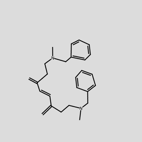 C=C(C=CC(=C)CCN(C)Cc1ccccc1)CCN(C)Cc1ccccc1